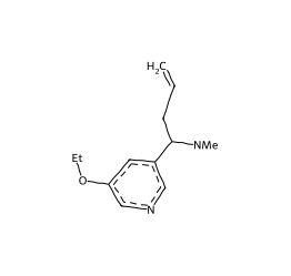 C=CCC(NC)c1cncc(OCC)c1